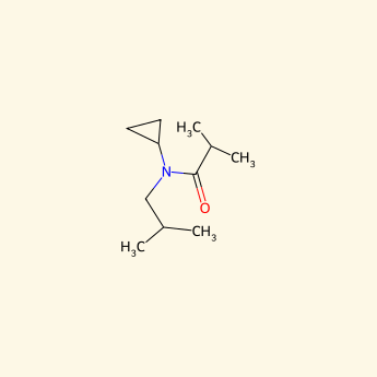 CC(C)CN(C(=O)C(C)C)C1CC1